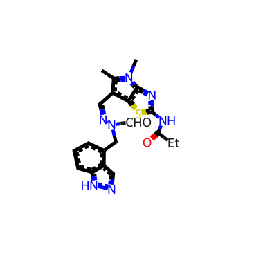 CCC(=O)Nc1nc2c(s1)c(/C=N\N(C=O)Cc1cccc3[nH]ncc13)c(C)n2C